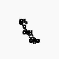 COCCOCCC(=O)NCC1CCC(CN2C(=O)C=CC2=O)CC1